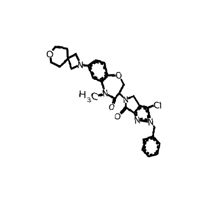 CN1C(=O)C(N2Cc3c(nn(Cc4ccccc4)c3Cl)C2=O)COc2ccc(N3CC4(CCOCC4)C3)cc21